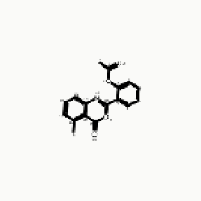 CC(=O)Oc1ccccc1-c1nc2cccc(C)c2c(=O)o1